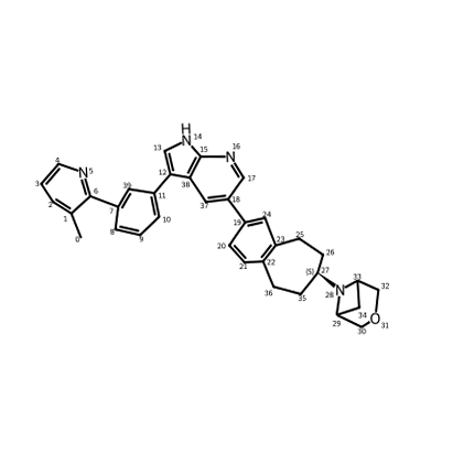 Cc1cccnc1-c1cccc(-c2c[nH]c3ncc(-c4ccc5c(c4)CC[C@@H](N4C6COCC4C6)CC5)cc23)c1